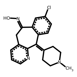 CN1CCC(=C2c3ccc(Cl)cc3C(=NO)Cc3cccnc32)CC1